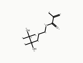 C=C(C)C(=O)OCCCC(C)(O)C(C)(C)O